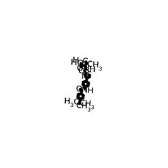 CC(C)C(NC(=O)c1nc(-c2ccc(NC(=O)c3ccc(C(C)(C)C)cc3)cc2)cs1)C(=O)O